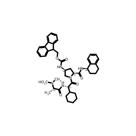 C[C@@H](C(=O)N[C@H](C(=O)N1C[C@@H](NC(=O)OCC2c3ccccc3-c3ccccc32)C[C@H]1C(=O)N[C@@H]1CCCc2ccccc21)C1CCCCC1)N(C)C(=O)O